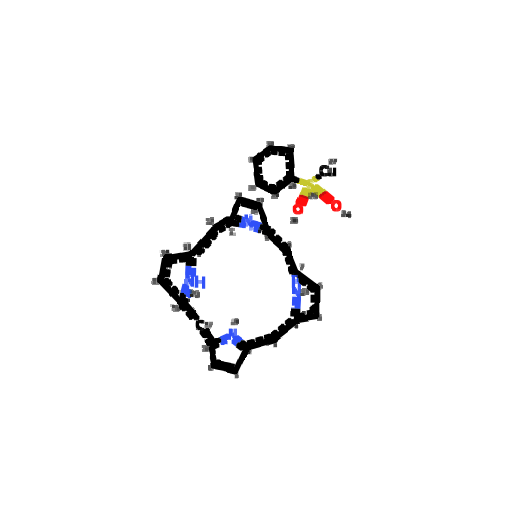 C1=Cc2cc3ccc(cc4nc(cc5ccc(cc1n2)[nH]5)C=C4)[nH]3.O=[S](=O)([Cu])c1ccccc1